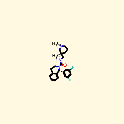 CN1CCC[C@@](C)(CNC(=O)N2CCc3ccccc3[C@H]2c2cc(F)cc(F)c2)C1